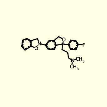 CN(C)CCCC1(c2ccc(F)cc2)OCc2cc(N3Cc4ccccc4O3)ccc21